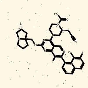 N#CC[C@H]1CN(c2nc(OCC34CCCN3C[C@H](F)C4)nc3c(F)c(-c4cccc5ccc(F)c(Cl)c45)ncc23)CCN1C(=O)O